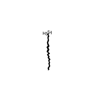 CCCCCCCCCCCCCCCCCCCC(S)S